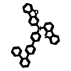 c1ccc(-c2ccccc2-c2ccc(-c3ccc(N(c4ccc5c(c4)oc4ccccc45)c4cccc5c4sc4ccccc45)cc3)cc2)cc1